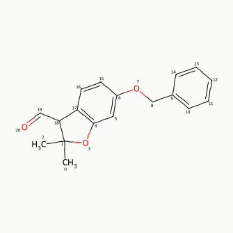 CC1(C)Oc2cc(OCc3ccccc3)ccc2C1C=O